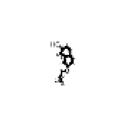 Oc1ccc2ccc(OCC3CO3)cc2c1